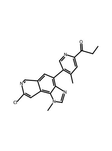 CCC(=O)c1cc(C)c(-c2cc3cnc(Cl)cc3c3c2ncn3C)cn1